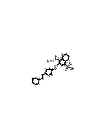 Nc1c(/N=N/c2ccc(/C=C/c3ccccc3)nc2)cc(S(=O)(=O)O)c2ccccc12.[NaH]